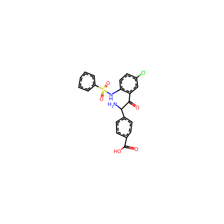 NC(C(=O)c1cc(Cl)ccc1NS(=O)(=O)c1ccccc1)c1ccc(C(=O)O)cc1